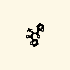 CC(=O)C(C(=O)c1ccco1)C(=O)c1ccco1